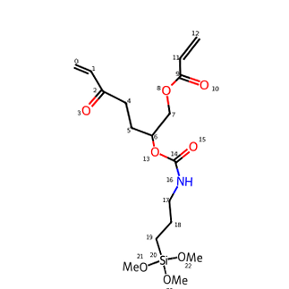 C=CC(=O)CCC(COC(=O)C=C)OC(=O)NCCC[Si](OC)(OC)OC